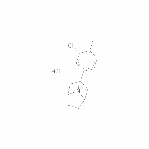 Cc1ccc(C2=CC3CCC(C2)N3C)cc1Cl.Cl